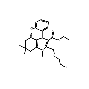 CCOC(=O)C1=C(COCCN)N(C)C2=C(C(=O)CC(C)(C)C2)C1c1ccccc1Cl